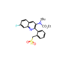 CCOC(=O)N(c1cc2ccc(F)cc2nc1-c1ccccc1C[SH](=O)=O)C(C)(C)C